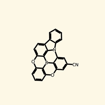 N#Cc1cc2c3c(c1)-n1c4ccccc4c4ccc5c(c41)B3c1c(cccc1O5)O2